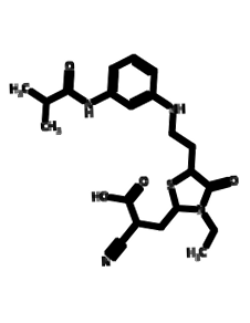 CCN1C(=O)C(CCNc2cccc(NC(=O)C(C)C)c2)SC1CC(C#N)C(=O)O